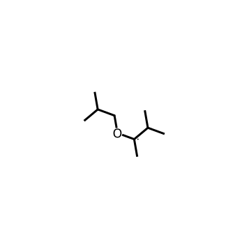 C[C](OCC(C)C)C(C)C